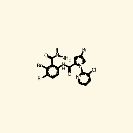 CN(N)C(=O)c1c(NC(=O)c2cc(Br)cn2-c2ncccc2Cl)ccc(Br)c1Br